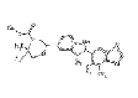 Cc1c(-c2[nH]c3ccc(C4CN(C(=O)OC(C)(C)C)C(C)(C)CO4)cc3c2C(C)C)cn2ncnc2c1C